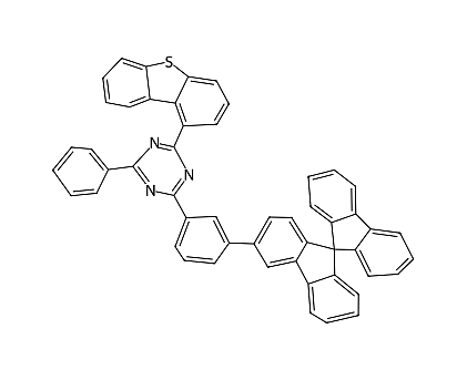 c1ccc(-c2nc(-c3cccc(-c4ccc5c(c4)-c4ccccc4C54c5ccccc5-c5ccccc54)c3)nc(-c3cccc4sc5ccccc5c34)n2)cc1